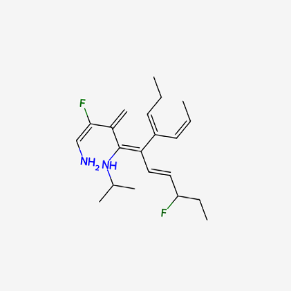 C=C(/C(F)=C\N)/C(NC(C)C)=C(/C=CC(F)CC)C(=CCC)/C=C\C